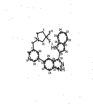 FC1(F)CCN(Cc2cncc(-c3ccc4[nH]nc(-c5cc6ccccc6[nH]5)c4c3)c2)C1